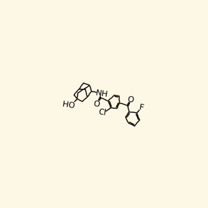 O=C(c1ccc(C(=O)NC2C3CC4CC2CC(O)(C4)C3)c(Cl)c1)c1ccccc1F